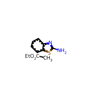 CCOC(C)=O.Nc1nc2ccccc2s1